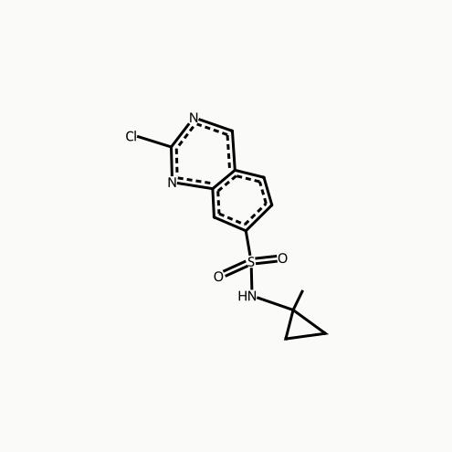 CC1(NS(=O)(=O)c2ccc3cnc(Cl)nc3c2)CC1